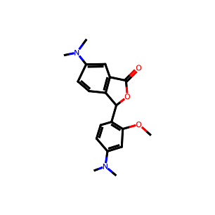 COc1cc(N(C)C)ccc1C1OC(=O)c2cc(N(C)C)ccc21